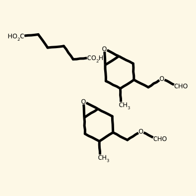 CC1CC2OC2CC1COC=O.CC1CC2OC2CC1COC=O.O=C(O)CCCCC(=O)O